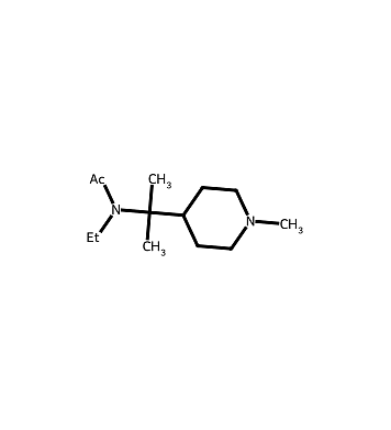 CCN(C(C)=O)C(C)(C)C1CCN(C)CC1